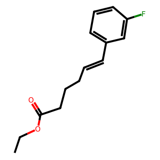 CCOC(=O)CCCC=Cc1cccc(F)c1